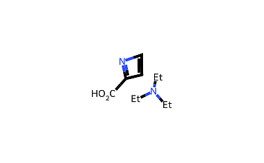 CCN(CC)CC.O=C(O)C1=NC=C1